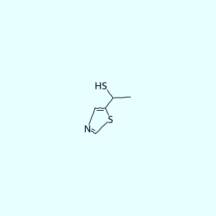 CC(S)c1cncs1